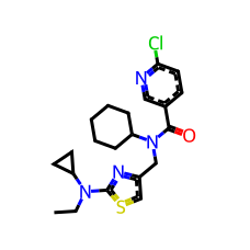 CCN(c1nc(CN(C(=O)c2ccc(Cl)nc2)C2CCCCC2)cs1)C1CC1